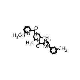 COc1cccc(C(=O)N2CC(C)N(C(=O)c3ncn(-c4cccc(C)c4)n3)C(C)C2)n1